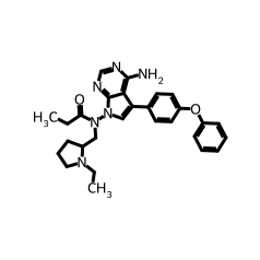 CCC(=O)N(CC1CCCN1CC)n1cc(-c2ccc(Oc3ccccc3)cc2)c2c(N)ncnc21